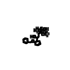 CC(C)(CCC(O)c1ccccc1OCc1ccccc1)[Si](C)(C)O